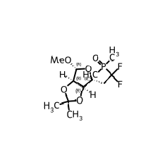 CO[C@@H]1O[C@H](CC(F)(F)P(C)(C)=O)[C@H]2OC(C)(C)O[C@@H]12